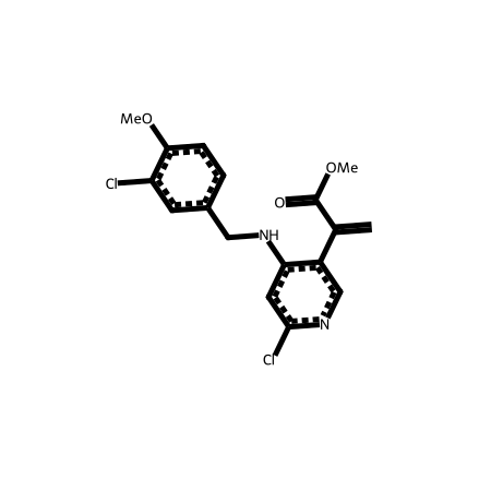 C=C(C(=O)OC)c1cnc(Cl)cc1NCc1ccc(OC)c(Cl)c1